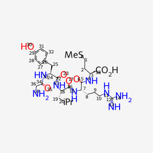 CSCC[C@H](NC(=O)[C@H](CCCNC(=N)N)NC(=O)[C@H](CC(C)C)NC(=O)[C@H](Cc1ccc(O)cc1)NC(=O)CN)C(=O)O